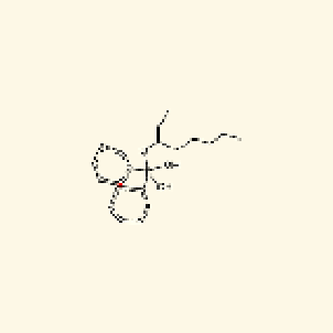 CCCCCC(CC)OP(O)(O)(c1ccccc1)c1ccccc1